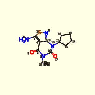 CCCCn1c(=O)c2c(N)snc2n(C2CCCC2)c1=O